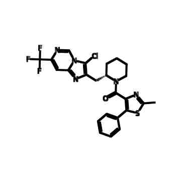 Cc1nc(C(=O)N2CCCC[C@H]2Cc2nc3cc(C(F)(F)F)ncn3c2Cl)c(-c2ccccc2)s1